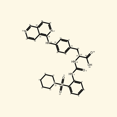 O=C(Nc1ccccc1S(=O)(=O)N1CCCCC1)N[C@@H](Cc1ccc(Nc2nccc3cnccc23)cc1)C(=O)O